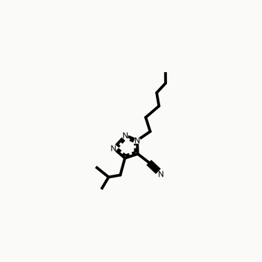 CCCCCCn1nnc(CC(C)C)c1C#N